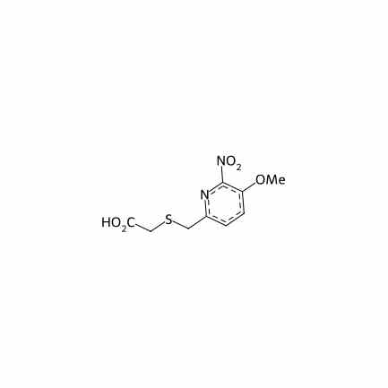 COc1ccc(CSCC(=O)O)nc1[N+](=O)[O-]